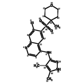 CCc1cc2nccc(Nc3n[nH]c(C)c3C)c2cc1S(=O)(=O)C1(C)CCOCC1